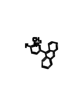 C[n+]1cc(-c2c3ccccc3cc3ccccc23)ccc1F